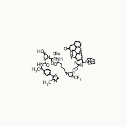 Cc1ncsc1-c1ccc([C@H](C)NC(=O)[C@@H]2C[C@@H](O)CN2C(=O)[C@@H](NC(=O)CCCCN2C[C@@H](C(F)(F)F)[C@H]2COc2nc(N3CC4CCC(C3)N4)c3cnc(-c4[nH]c(=O)cc5cccc(F)c45)c(F)c3n2)C(C)(C)C)cc1